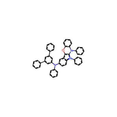 c1ccc(-c2cc(-c3ccccc3)cc(N(c3ccccc3)c3ccc4c(c3)c3c(n4-c4ccccc4)N(c4ccccc4)c4ccccc4O3)c2)cc1